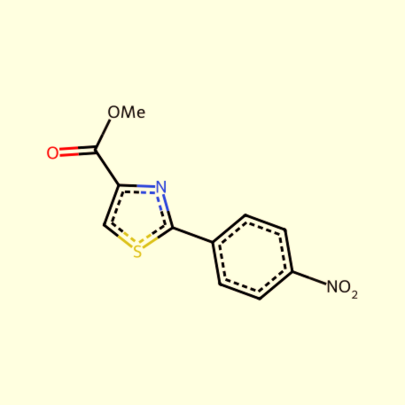 COC(=O)c1csc(-c2ccc([N+](=O)[O-])cc2)n1